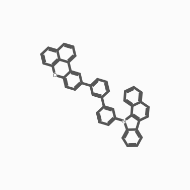 c1cc(-c2cccc(-n3c4ccccc4c4ccc5ccccc5c43)c2)cc(-c2ccc3c(c2)-c2cccc4cccc(c24)O3)c1